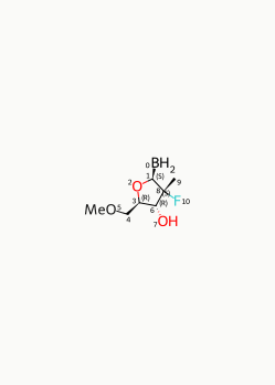 B[C@@H]1O[C@H](COC)[C@@H](O)[C@@]1(C)F